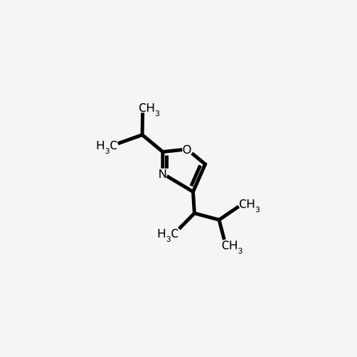 CC(C)c1nc(C(C)C(C)C)co1